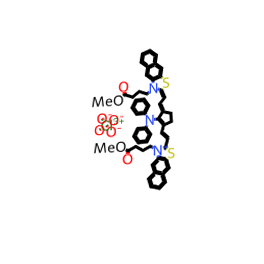 COC(=O)CCCN1/C(=C\C=C2/CCC(C=Cc3sc4cc5ccccc5cc4[n+]3CCCC(=O)OC)=C2N(c2ccccc2)c2ccccc2)Sc2cc3ccccc3cc21.[O-][Cl+3]([O-])([O-])[O-]